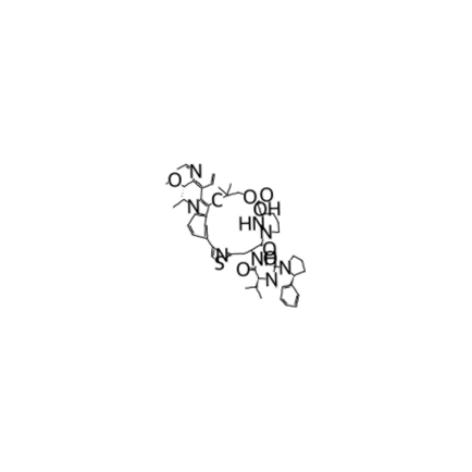 C=C/C(=C(\N=C/C)[C@H](C)OC)c1c2c3cc(ccc3n1CC)-c1csc(n1)C[C@H](NC(=O)[C@H](C(C)C)N(C)C(=O)N1CCC[C@H]1c1ccccc1)C(=O)N1CCC[C@@](O)(N1)C(=O)OCC(C)(C)C2